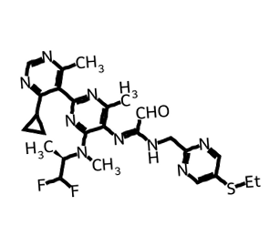 CCSc1cnc(CN/C(C=O)=N/c2c(C)nc(-c3c(C)ncnc3C3CC3)nc2N(C)[C@H](C)C(F)F)nc1